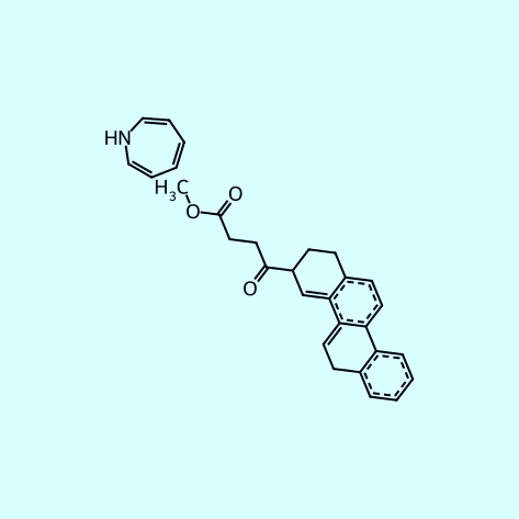 C1=CC=CNC=C1.COC(=O)CCC(=O)C1C=c2c(ccc3c2=CCc2ccccc2-3)CC1